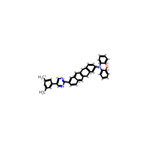 Cc1cc(C)cc(-c2cnc(-c3ccc4cc5c(cc4c3)Cc3ccc(N4c6ccccc6Oc6ccccc64)cc3C5)nc2)c1